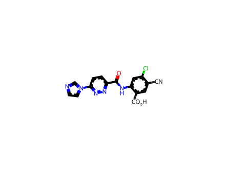 N#Cc1cc(C(=O)O)c(NC(=O)c2ccc(-n3ccnc3)nn2)cc1Cl